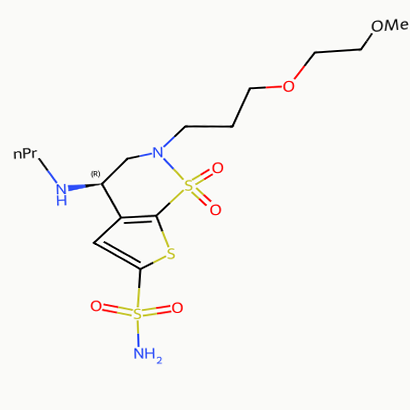 CCCN[C@H]1CN(CCCOCCOC)S(=O)(=O)c2sc(S(N)(=O)=O)cc21